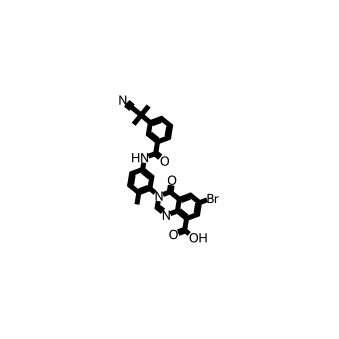 Cc1ccc(NC(=O)c2cccc(C(C)(C)C#N)c2)cc1-n1cnc2c(C(=O)O)cc(Br)cc2c1=O